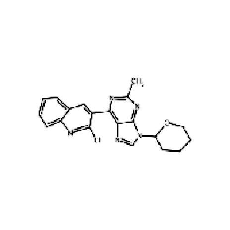 Cc1nc(-c2cc3ccccc3nc2Cl)c2ncn(C3CCCCO3)c2n1